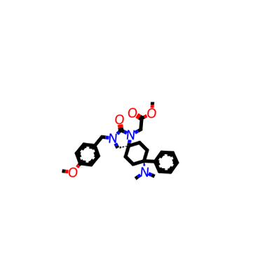 COC(=O)CN1C(=O)N(Cc2ccc(OC)cc2)C[C@]12CC[C@@](c1ccccc1)(N(C)C)CC2